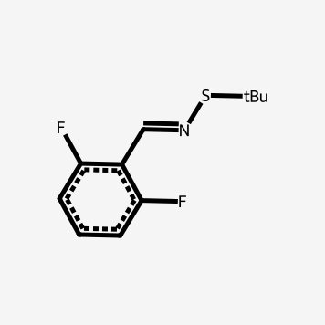 CC(C)(C)S/N=C/c1c(F)cccc1F